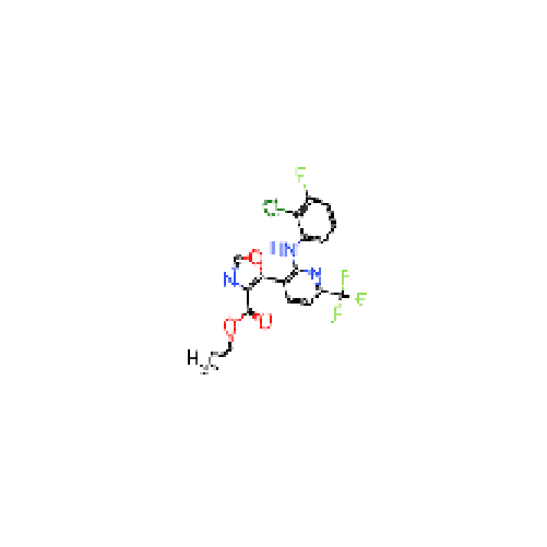 CCOC(=O)c1ncoc1-c1ccc(C(F)(F)F)nc1Nc1cccc(F)c1Cl